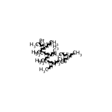 CCCCP(CCCC)CCCC.CCCCP(CCCC)CCCC.CCCCP(CCCC)CCCC.CCCCP(CCCC)CCCC.[Pt]